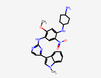 COc1cc(NC2CCC(N)CC2)c([N+](=O)[O-])cc1Nc1nccc(-c2cn(C)c3ccccc23)n1